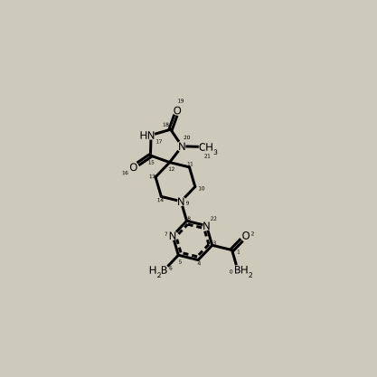 BC(=O)c1cc(B)nc(N2CCC3(CC2)C(=O)NC(=O)N3C)n1